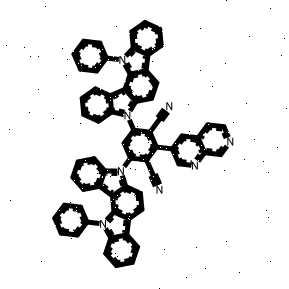 N#Cc1c(-n2c3ccccc3c3c2ccc2c4ccccc4n(-c4ccccc4)c23)cc(-n2c3ccccc3c3c2ccc2c4ccccc4n(-c4ccccc4)c23)c(C#N)c1-c1cnc2cnccc2c1